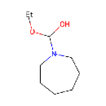 CCOC(O)N1CCCCCC1